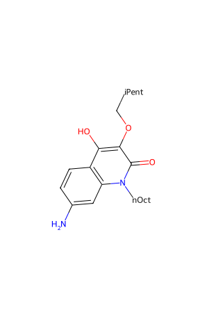 CCCCCCCCn1c(=O)c(OCC(C)CCC)c(O)c2ccc(N)cc21